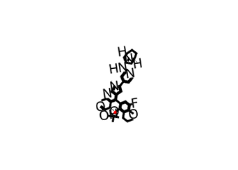 Cc1nc2c(cc(-c3ccnc(NC4C[C@H]5CC[C@@H](C4)N5C)c3)n2C)c(-c2cc(F)c3c(c2C)CCCO3)c1[C@H](OC(C)(C)C)C(=O)O